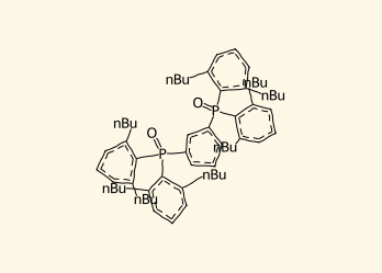 CCCCc1cccc(CCCC)c1P(=O)(c1cccc(P(=O)(c2c(CCCC)cccc2CCCC)c2c(CCCC)cccc2CCCC)c1)c1c(CCCC)cccc1CCCC